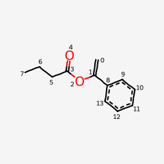 C=C(OC(=O)CCC)c1ccccc1